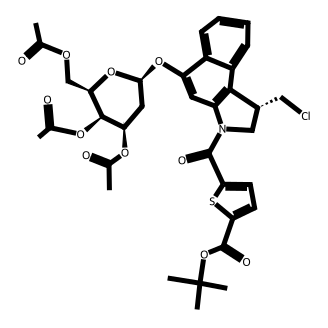 CC(=O)OC[C@H]1O[C@@H](Oc2cc3c(c4ccccc24)[C@H](CCl)CN3C(=O)c2ccc(C(=O)OC(C)(C)C)s2)C[C@@H](OC(C)=O)[C@H]1OC(C)=O